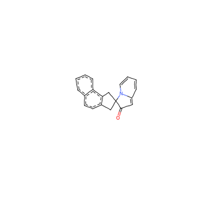 O=C1C=C2C=CC=CN2C12Cc1ccc3ccccc3c1C2